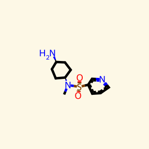 CN([C@H]1CC[C@H](N)CC1)S(=O)(=O)c1cccnc1